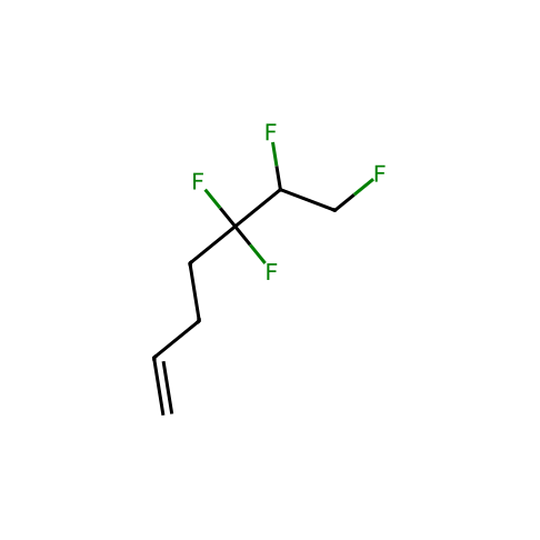 C=CCCC(F)(F)C(F)CF